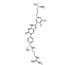 C[C@H](N)CCCc1cc(Cl)c(F)c(-c2cc3cn(-c4ccc([C@@H](CO)NCCCNC(=N)N)cc4)c(=O)nc3[nH]2)c1